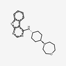 c1ccc2c(c1)sc1ncnc(N[C@H]3CC[C@H](N4CCCOCC4)CC3)c12